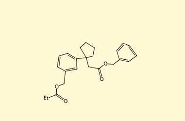 CCC(=O)OCc1cccc(C2(CC(=O)OCc3ccccc3)CCCC2)c1